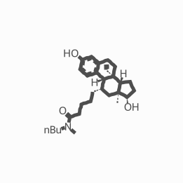 C=C[C@@]12CCc3cc(O)ccc3[C@H]1[C@@H](CCCCC(=O)N(C)CCCC)C[C@@]1(C)[C@H]2CC[C@@H]1O